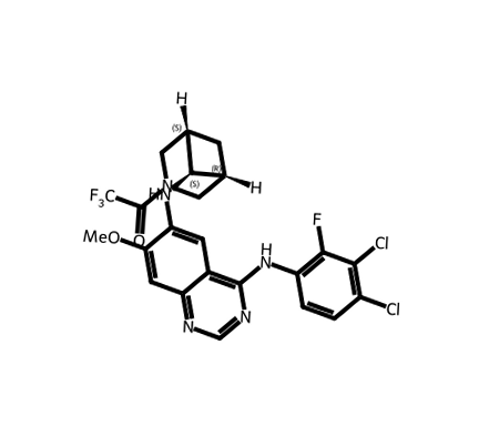 COc1cc2ncnc(Nc3ccc(Cl)c(Cl)c3F)c2cc1N[C@@H]1[C@@H]2C[C@H]1CN(C(=O)C(F)(F)F)C2